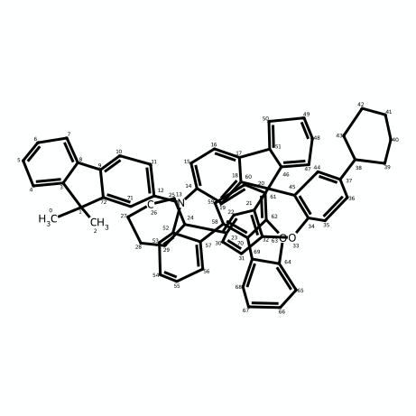 CC1(C)c2ccccc2-c2ccc(N(c3ccc4c(c3)C3(c5cc(C6CCCCC6)ccc5Oc5ccc(C6CCCCC6)cc53)c3ccccc3-4)c3ccccc3-c3cccc4oc5ccccc5c34)cc21